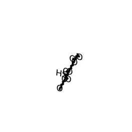 COCCCCCOC(=O)C(S)CC(=O)OCCCCCOC(=O)CCC(C)=O